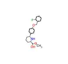 COC(O)[C@H]1CCC[C@@H](c2ccc(OCc3ccccc3F)cc2)N1